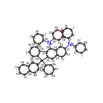 c1ccc(N(c2ccccc2)c2ccc3cc4c(c(N(c5ccccc5)c5ccccc5)c3c2)-c2ccccc2C4(c2ccccc2)c2ccc3ccccc3c2)cc1